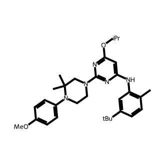 COc1ccc(N2CCN(c3nc(Nc4cc(C(C)(C)C)ccc4C)cc(OC(C)C)n3)CC2(C)C)cc1